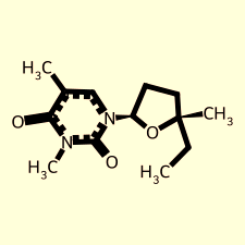 CC[C@@]1(C)CC[C@H](n2cc(C)c(=O)n(C)c2=O)O1